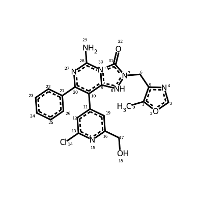 Cc1ocnc1Cn1[nH]c2c(-c3cc(Cl)nc(CO)c3)c(-c3ccccc3)nc(N)[n+]2c1=O